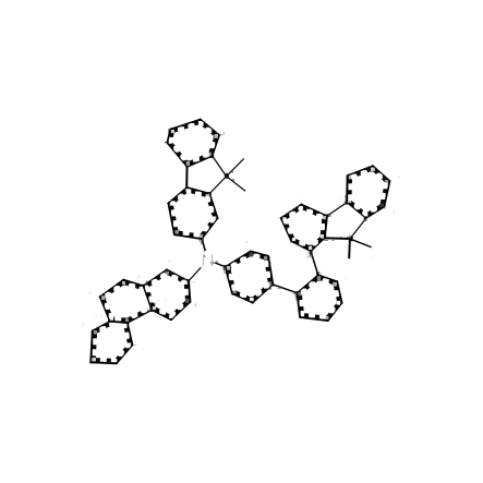 CC1(C)c2ccccc2-c2ccc(N(c3ccc(-c4ccccc4-c4cccc5c4C(C)(C)c4ccccc4-5)cc3)c3ccc4c(ccc5ccccc54)c3)cc21